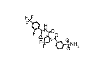 NS(=O)(=O)c1cccc(C(=O)N2CC(F)(F)C[C@@H]2C(=O)N[C@@H](c2ccc(C(F)(F)F)cc2F)C2CC2)c1